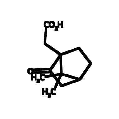 CC1(C)C2CCC1(CC(=O)O)C(=O)C2